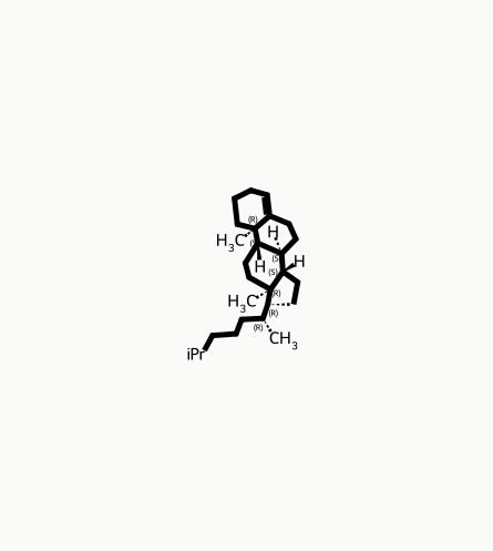 CC(C)CCC[C@@H](C)[C@H]1CC[C@H]2[C@@H]3CCC4=CCCC[C@]4(C)[C@H]3CC[C@]12C